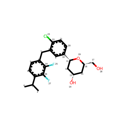 CC(C)c1ccc(Cc2cc([C@H]3C[C@@H](O)C[C@@H](CO)O3)ccc2Cl)c(F)c1F